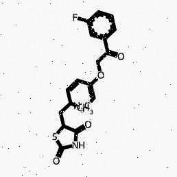 C/C=C(\C=C/C(C)CC1SC(=O)NC1=O)OCC(=O)c1cccc(F)c1